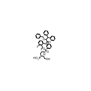 O=C(Nc1cccc(F)c1CC[C@@H](CN(CCO)C(=O)O)NS(=O)(=O)c1ccccc1)C(OCc1ccccc1)C(c1ccccc1)c1ccccc1